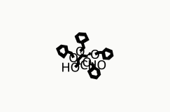 O=C[C@H](O)[C@@H](OCc1ccccc1)[C@H](OCc1ccccc1)[C@@H](COCc1ccccc1)OCc1ccccc1